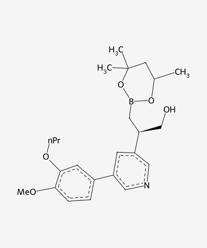 CCCOc1cc(-c2cncc([C@H](CO)CB3OC(C)CC(C)(C)O3)c2)ccc1OC